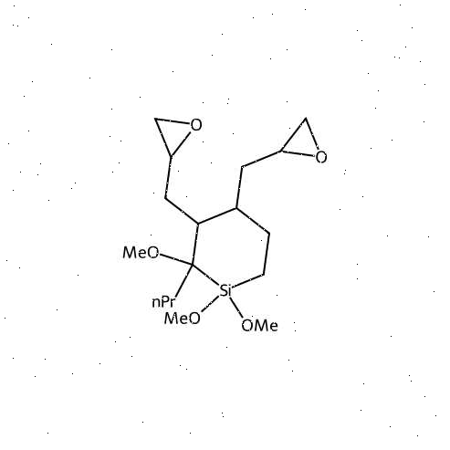 CCCC1(OC)C(CC2CO2)C(CC2CO2)CC[Si]1(OC)OC